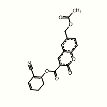 CC(=O)OCc1ccc2oc(=O)c(C(=O)OC3=C(C#N)C=CCC3)cc2c1